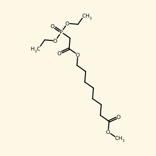 CCOP(=O)(CC(=O)OCCCCCCCC(=O)OC)OCC